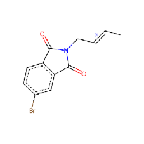 C/C=C/CN1C(=O)c2ccc(Br)cc2C1=O